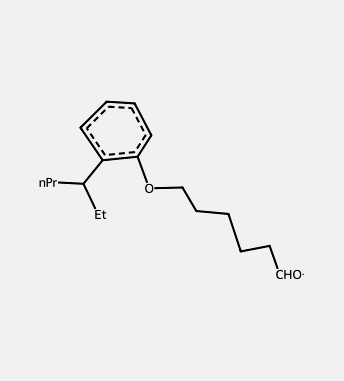 CCCC(CC)c1ccccc1OCCCCC[C]=O